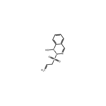 C=CCS(=O)(=O)N1N=Cc2ccccc2B1O